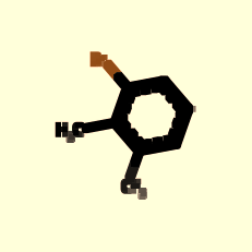 Cc1c(Br)c[c]cc1C(F)(F)F